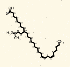 CCCCC/C=C\C/C=C\CCCCCCCCCC(CCCCCCCC(=O)O)CCN(C)C